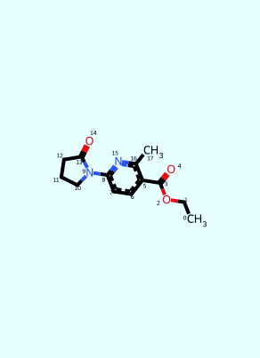 CCOC(=O)c1ccc(N2CCCC2=O)nc1C